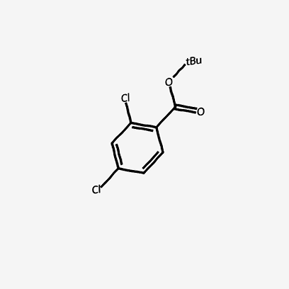 CC(C)(C)OC(=O)c1ccc(Cl)cc1Cl